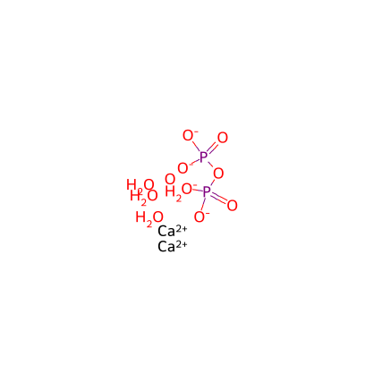 O.O.O.O.O=P([O-])([O-])OP(=O)([O-])[O-].[Ca+2].[Ca+2]